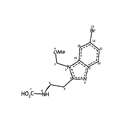 COCn1c(CCNC(=O)O)nc2ccc(Br)cc21